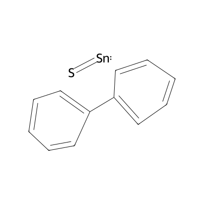 [S]=[Sn].c1ccc(-c2ccccc2)cc1